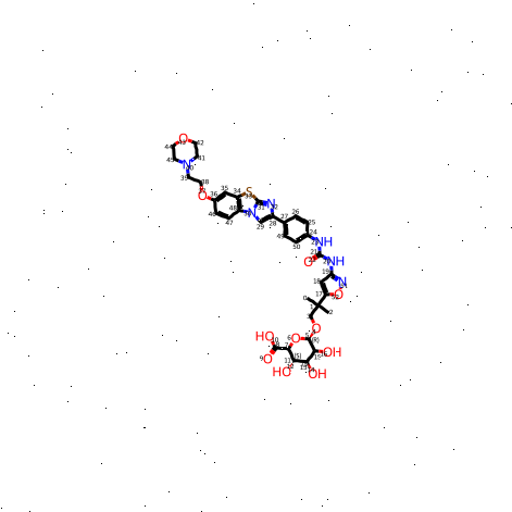 CC(C)(CO[C@@H]1OC(C(=O)O)[C@@H](O)[C@H](O)C1O)c1cc(NC(=O)Nc2ccc(-c3cn4c(n3)sc3cc(OCCN5CCOCC5)ccc34)cc2)no1